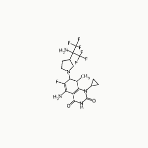 CC1c2c(c(=O)[nH]c(=O)n2C2CC2)C(N)=C(F)C1N1CCC(C(N)(C(F)(F)F)C(F)(F)F)C1